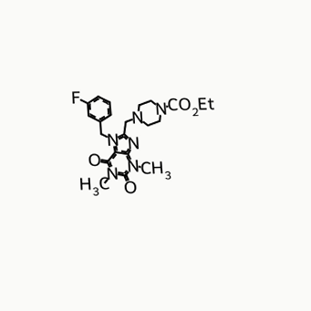 CCOC(=O)N1CCN(Cc2nc3c(c(=O)n(C)c(=O)n3C)n2Cc2cccc(F)c2)CC1